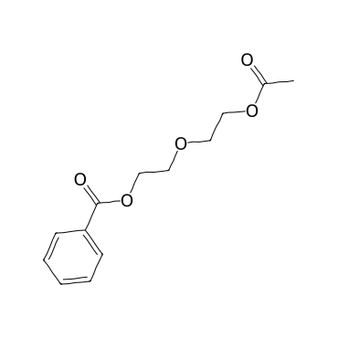 CC(=O)OCCOCCOC(=O)c1ccccc1